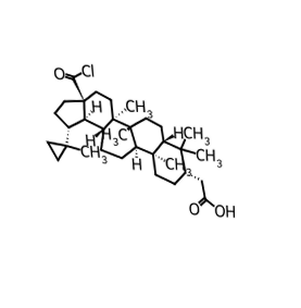 CC1([C@@H]2CC[C@]3(C(=O)Cl)CC[C@]4(C)[C@H](CC[C@@H]5[C@]6(C)CC[C@@H](CC(=O)O)C(C)(C)[C@H]6CC[C@]54C)[C@@H]23)CC1